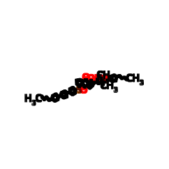 CCCCCC1CCC(COc2c(C)cc(-c3ccc4c(c3O)C(=O)c3cccc(Sc5ccc(-c6ccc(C7CCC(CCCCC)CC7)cc6)cc5)c3C4=O)cc2C)CC1